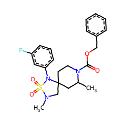 CC1CC2(CCN1C(=O)OCc1ccccc1)CN(C)S(=O)(=O)N2c1cccc(F)c1